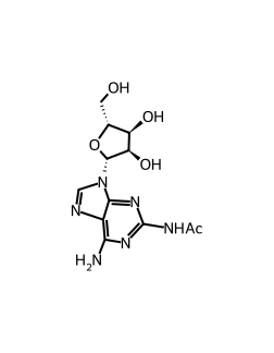 CC(=O)Nc1nc(N)c2ncn([C@@H]3O[C@H](CO)[C@@H](O)[C@H]3O)c2n1